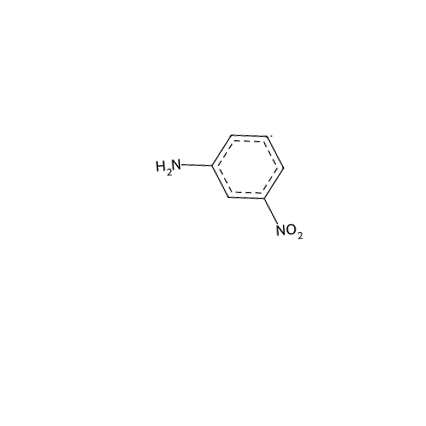 Nc1c[c]cc([N+](=O)[O-])c1